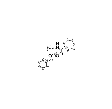 CC(NC(=O)N1CCCCCC1)C(=O)OCc1ccccc1